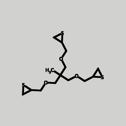 CC(COCC1CS1)(COCC1CS1)COCC1CS1